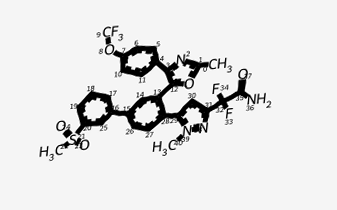 Cc1nc(-c2ccc(OC(F)(F)F)cc2)c(-c2cc(-c3cccc(S(C)(=O)=O)c3)ccc2-c2cc(C(F)(F)C(N)=O)nn2C)o1